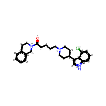 O=C(CCCCN1CCC(c2c[nH]c3cccc(Cl)c23)CC1)N1CCc2ccccc2C1